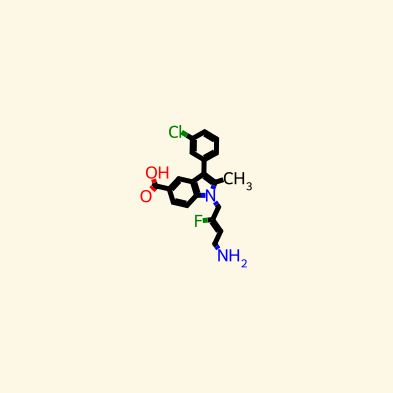 Cc1c(-c2cccc(Cl)c2)c2cc(C(=O)O)ccc2n1CC(F)=CCN